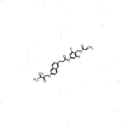 C=CC(=O)OCc1c(F)cc(OC(=O)CCc2ccc3cc(OCC(=O)C(=C)C)ccc3c2)cc1F